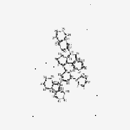 c1ccc(-c2cc(-c3ccc4c5c(cc6ccccc6c35)-c3cc5ccccc5cc3-4)cc(-n3c4ccccc4c4ccccc43)c2)cc1